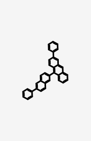 c1ccc(-c2ccc3cc(-c4c5ccccc5cc5cc(-c6ccccc6)ccc45)ccc3c2)cc1